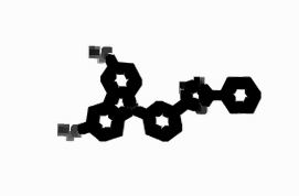 Cc1ccc2c(c1)c1cc(C)ccc1n2-c1cccc(-c2nnc(-c3ccccc3)o2)c1